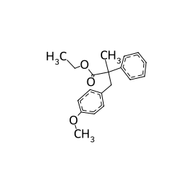 CCOC(=O)C(C)(Cc1ccc(OC)cc1)c1ccccc1